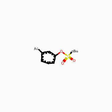 CCCCS(=O)(=O)Oc1cccc(C(C)=O)c1